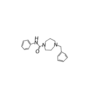 O=C(Nc1ccccc1)N1CCCN(Cc2ccccc2)CC1